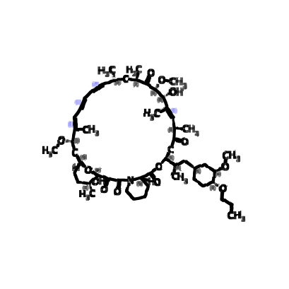 CCCO[C@@H]1CC[C@@H](C[C@@H](C)[C@@H]2CC(=O)[C@H](C)/C=C(\C)[C@@H](O)[C@@H](OC)C(=O)[C@H](C)C[C@@H](C)\C=C/C=C/C=C(\C)[C@@H](OC)C[C@@H]3CC[C@@H](C)[C@@](O)(O3)C(=O)C(=O)N3CCCC[C@H]3C(=O)O2)C[C@H]1OC